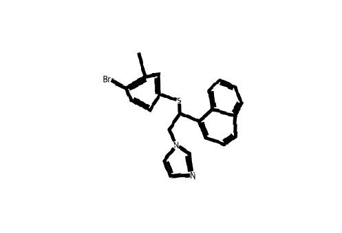 Cc1cc(SC(Cn2ccnc2)c2cccc3ccccc23)ccc1Br